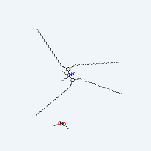 CCCCCCCCCCCCCCCCCCCCCCCCCC#Cc1cc(C#CCCCCCCCCCCCCCCCCCCCCCCCCC)cc(C2=C(CCCC)C(CCCC)=C(c3cc(C#CCCCCCCCCCCCCCCCCCCCCCCCCC)cc(C#CCCCCCCCCCCCCCCCCCCCCCCCCC)c3)[N+]2=[N-])c1.CCCC[O][Ni][O]CCCC